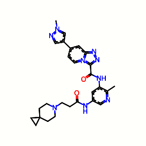 Cc1ncc(NC(=O)CCN2CCC3(CC2)CC3)cc1NC(=O)c1nnc2cc(-c3cnn(C)c3)ccn12